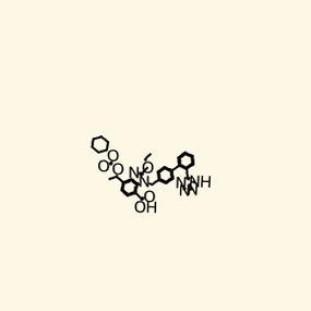 CCOc1nc2c(C(C)OC(=O)OC3CCCCC3)ccc(C(=O)O)c2n1Cc1ccc(-c2ccccc2-c2nnn[nH]2)cc1